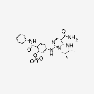 CC(C)[C@@H](C)Nc1nc(Nc2ccc(C(=O)Nc3ccccc3)c(OS(C)(=O)=O)c2)ncc1C(N)=O